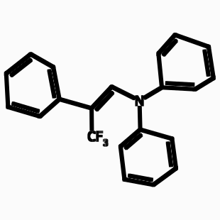 FC(F)(F)/C(=C\N(c1ccccc1)c1ccccc1)c1ccccc1